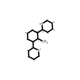 CC1[C](C2CCCCS2)CCCC1C1CCCCS1